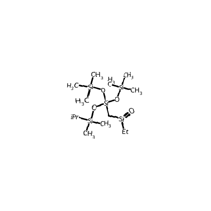 CC[Si](=O)C[Si](O[Si](C)(C)C)(O[Si](C)(C)C)O[Si](C)(C)C(C)C